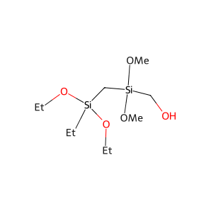 CCO[Si](CC)(C[Si](CO)(OC)OC)OCC